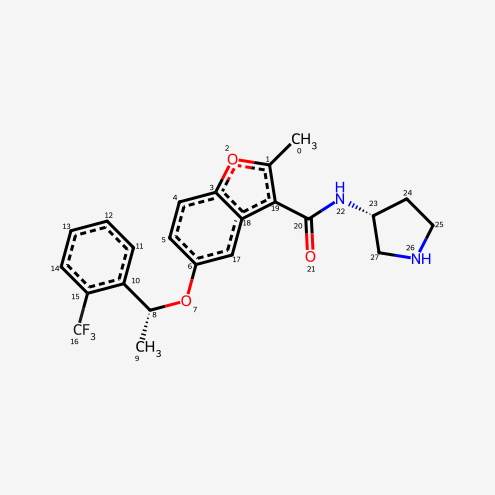 Cc1oc2ccc(O[C@H](C)c3ccccc3C(F)(F)F)cc2c1C(=O)N[C@@H]1CCNC1